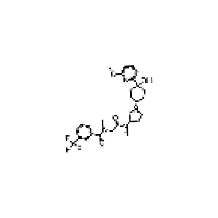 COc1cccc(C2(O)CCC(N3CCC(NC(=O)CNC(=O)c4cccc(C(F)(F)F)c4)C3)CC2)n1